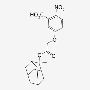 CC1(OC(=O)COc2ccc([N+](=O)[O-])c(C(=O)O)c2)C2CC3CC(C2)CC1C3